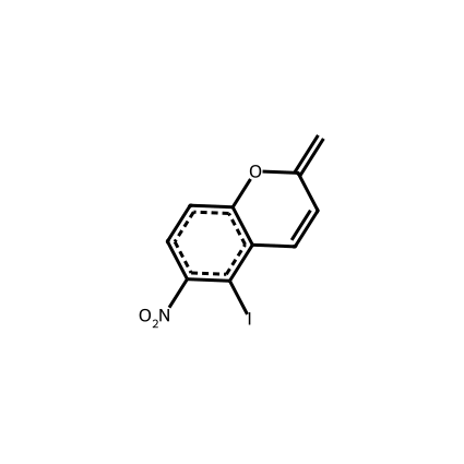 C=C1C=Cc2c(ccc([N+](=O)[O-])c2I)O1